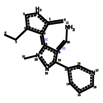 C=c1[nH]cc(CC)/c1=c1/c(=C\N)c(-c2cccnc2)nn1C